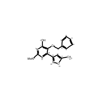 CNc1nc(O)c(OCc2ccccc2)c(-c2cc(C)on2)n1